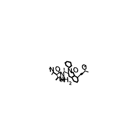 C=N/C(C)=C(/C(=C)N)C(=O)N[C@@H](C)c1cc2cccc(C#CC(C)OC)c2c(=O)n1-c1ccccc1